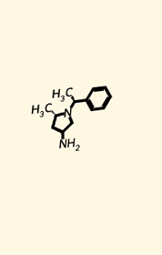 C[C@H]1CC(N)CN1[C@@H](C)c1ccccc1